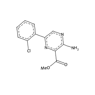 COC(=O)c1nc(-c2ccccc2Cl)cnc1N